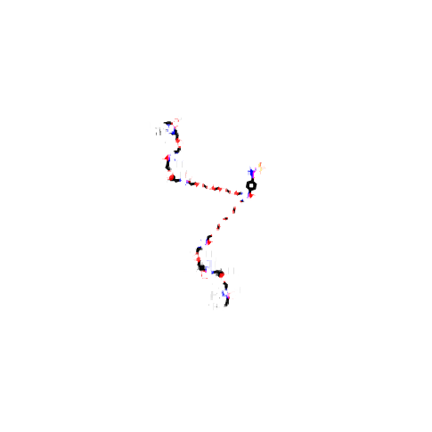 CC(C)N(C(=O)C(C)(C)CC(C)(C)C)C(C)(C)CCOC(C)(C)CCNC(=O)C(C)(C)CCOC(C)(C)CCNC(=O)CCOCCOCCOCCOCCN(CCOCCOCCOCCOCCC(=O)NCCC(C)(C)OCCC(C)(C)C(=O)NCCC(C)(C)OCCC(C)(C)N(C(=O)C(C)(C)C(C)(C)C)C(C)C)C(=O)c1ccc(-c2nnc(S(C)(=O)=O)o2)cc1